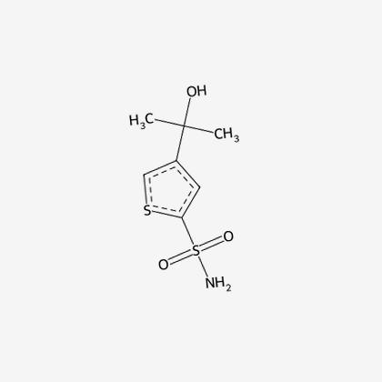 CC(C)(O)c1csc(S(N)(=O)=O)c1